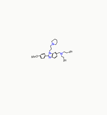 COc1ccc(-c2nc3ccc(CN(CCC(C)C)CCC(C)C)cc3n2CCCN2CCCCC2)cc1